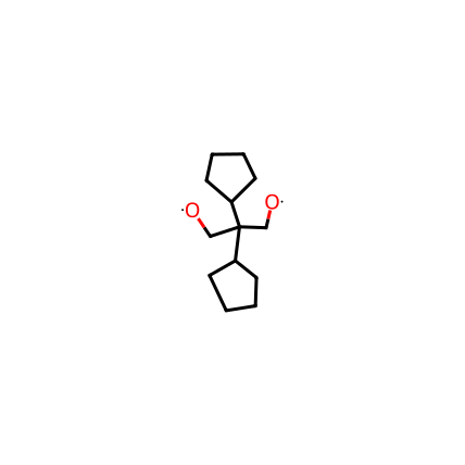 [O]CC(C[O])(C1CCCC1)C1CCCC1